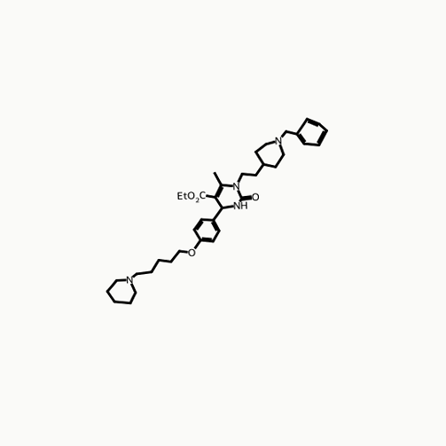 CCOC(=O)C1=C(C)N(CCC2CCN(Cc3ccccc3)CC2)C(=O)NC1c1ccc(OCCCCCN2CCCCC2)cc1